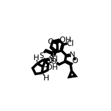 O=C(O)Cc1csc([C@@]2(O)[C@@H]3CC[C@H]2C[C@@H](OCc2c(-c4c(Cl)cccc4Cl)noc2C2CC2)C3)n1